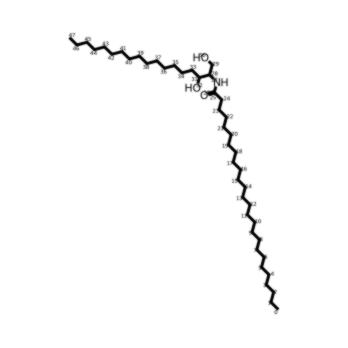 CCCCCCCCCCCCCCCCCCCCCCCCCC(=O)NC(CO)C(O)CCCCCCCCCCCCCCC